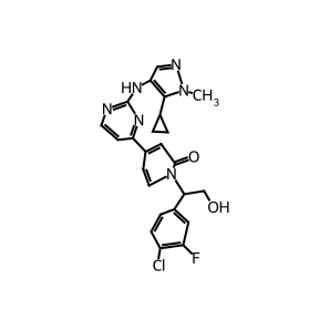 Cn1ncc(Nc2nccc(-c3ccn(C(CO)c4ccc(Cl)c(F)c4)c(=O)c3)n2)c1C1CC1